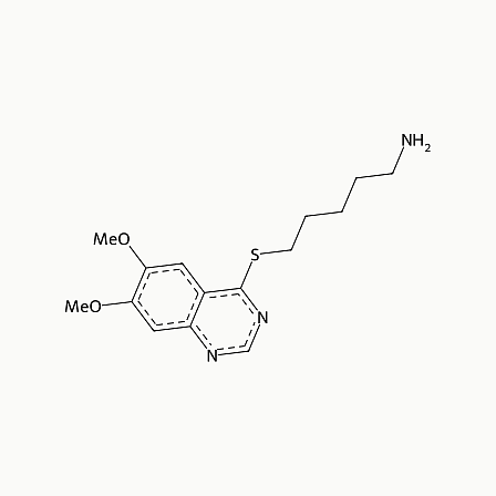 COc1cc2ncnc(SCCCCCN)c2cc1OC